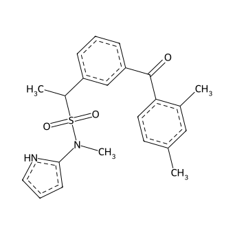 Cc1ccc(C(=O)c2cccc(C(C)S(=O)(=O)N(C)c3ccc[nH]3)c2)c(C)c1